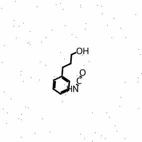 N=C=O.OCCCc1ccccc1